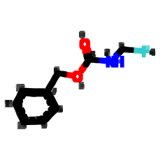 O=C(NCF)OCc1ccccc1